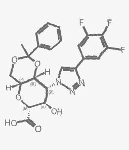 CC1(c2ccccc2)OC[C@H]2O[C@@H](C(=O)O)[C@H](O)[C@@H](n3cc(-c4cc(F)c(F)c(F)c4)nn3)[C@H]2O1